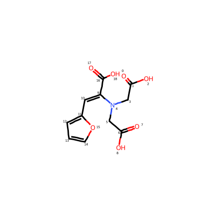 O=C(O)CN(CC(=O)O)C(=Cc1ccco1)C(=O)O